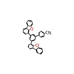 N#Cc1ccc(-c2cc(-c3cccc4c3oc3ccccc34)cc(-c3cccc4c3oc3ccccc34)c2)cc1